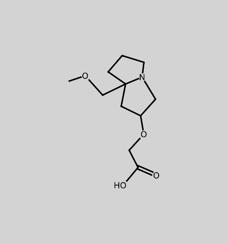 COCC12CCCN1CC(OCC(=O)O)C2